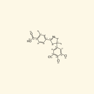 Cc1cc(C2=NCC(C)(c3cc(Cl)c(Cl)c(Cl)c3)C2)ccc1C(=O)O